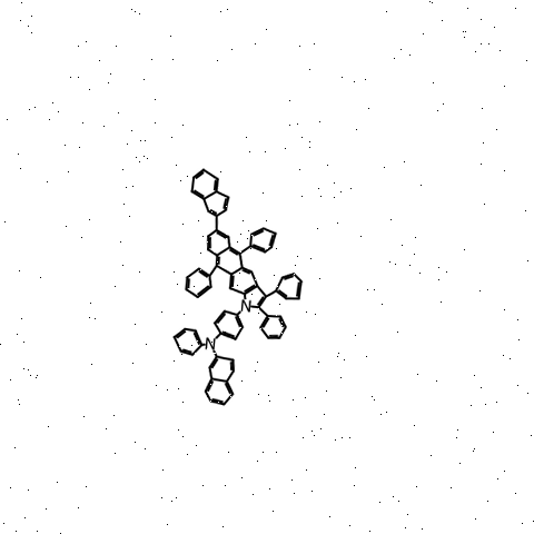 c1ccc(-c2c3cc(-c4ccc5ccccc5c4)ccc3c(-c3ccccc3)c3cc4c(cc23)c(-c2ccccc2)c(-c2ccccc2)n4-c2ccc(N(c3ccccc3)c3ccc4ccccc4c3)cc2)cc1